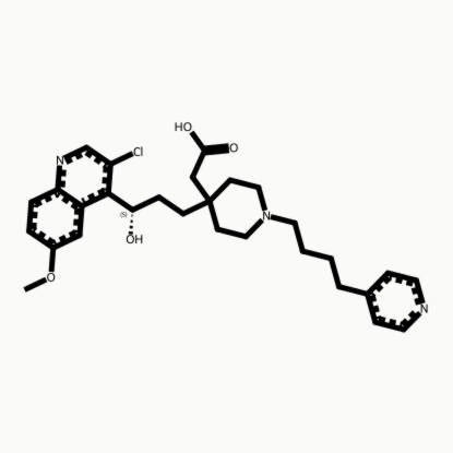 COc1ccc2ncc(Cl)c([C@@H](O)CCC3(CC(=O)O)CCN(CCCCc4ccncc4)CC3)c2c1